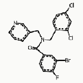 O=C(c1ccc(F)c(Br)c1)N(Cc1cccnc1)Cc1ccc(Cl)cc1Cl